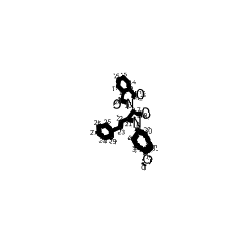 COc1ccc(N2C(=O)[C@@H](N3C(=O)c4ccccc4C3=O)C2C=Cc2ccccc2)cc1